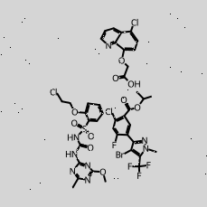 CC(C)OC(=O)c1cc(-c2nn(C)c(C(F)(F)F)c2Br)c(F)cc1Cl.COc1nc(C)nc(NC(=O)NS(=O)(=O)c2ccccc2OCCCl)n1.O=C(O)COc1ccc(Cl)c2cccnc12